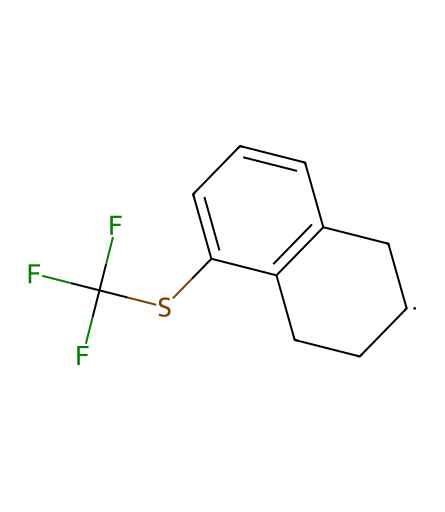 FC(F)(F)Sc1cccc2c1CC[CH]C2